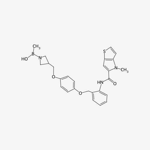 CB(O)N1CC(COc2ccc(OCc3ccccc3NC(=O)c3cc4sccc4n3C)cc2)C1